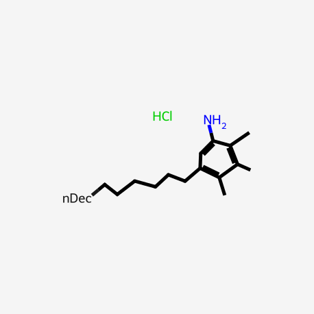 CCCCCCCCCCCCCCCCc1cc(N)c(C)c(C)c1C.Cl